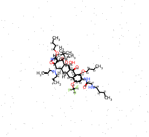 C=CCN(CC=C)[C@@H]1c2onc(OCCCC)c2C(=O)[C@@]2(O[Si](C)(C)C(C)(C)C)C(O)=C3C(=O)c4c(c(OC(F)(F)F)cc(NC(=O)CNCCCC)c4OCCCC)C[C@H]3C[C@@H]12